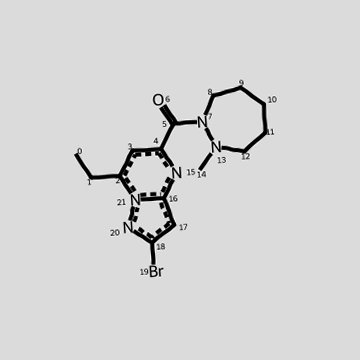 CCc1cc(C(=O)N2CCCCCN2C)nc2cc(Br)nn12